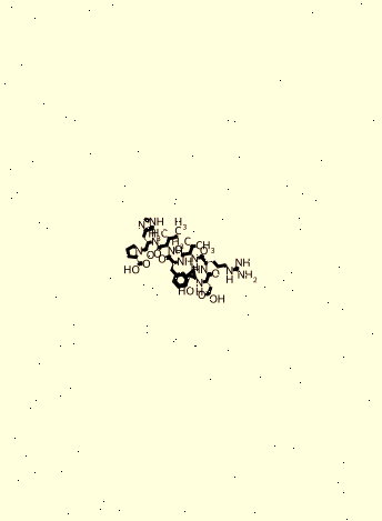 CC[C@H](C)[C@H](NC(=O)[C@H](Cc1ccc(O)cc1)NC(=O)[C@@H](NC(=O)[C@H](CCCNC(=N)N)NC(=O)[C@H](CC(=O)O)NC1CC1)C(C)C)C(=O)N[C@@H](Cc1c[nH]cn1)C(=O)N1CCC[C@H]1C(=O)O